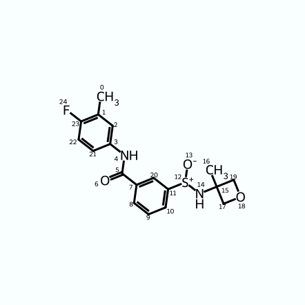 Cc1cc(NC(=O)c2cccc([S+]([O-])NC3(C)COC3)c2)ccc1F